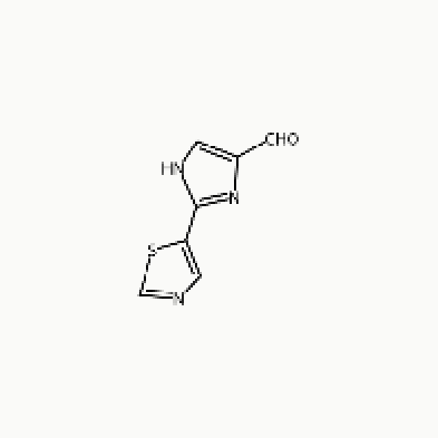 O=Cc1c[nH]c(-c2cncs2)n1